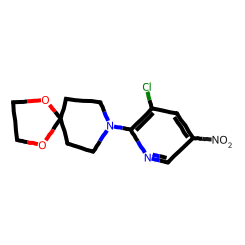 O=[N+]([O-])c1cnc(N2CCC3(CC2)OCCO3)c(Cl)c1